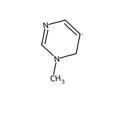 CN1C=NC=[C]C1